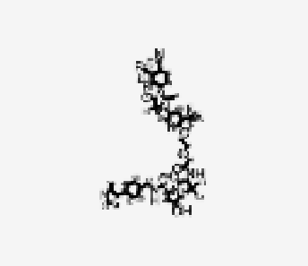 C=C1N(c2ccc(C#N)c(C(F)(F)F)c2F)C(=O)C(C)(C)N1c1cnc(OCCOCC(=O)N[C@H](C(=O)N2C[C@H](O)C[C@H]2C(=O)NCc2ccc(-c3scnc3C)cc2)C(C)(C)C)c(C(F)(F)F)c1